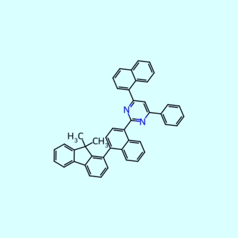 CC1(C)c2ccccc2-c2cccc(-c3ccc(-c4nc(-c5ccccc5)cc(-c5cccc6ccccc56)n4)c4ccccc34)c21